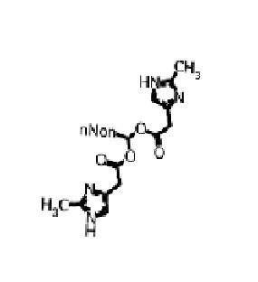 CCCCCCCCCC(OC(=O)Cc1c[nH]c(C)n1)OC(=O)Cc1c[nH]c(C)n1